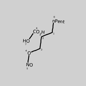 CCCCCCCCON=O.O=C(O)O